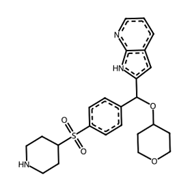 O=S(=O)(c1ccc(C(OC2CCOCC2)c2cc3cccnc3[nH]2)cc1)C1CCNCC1